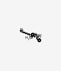 COc1c(OCCCCCCn2ccnc2)ccc2c1CN1C(=N2)NC(=O)C1Cc1ccccc1